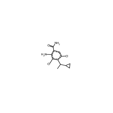 CC(c1c(Cl)cc(C(N)=O)c(N)c1Cl)C1CC1